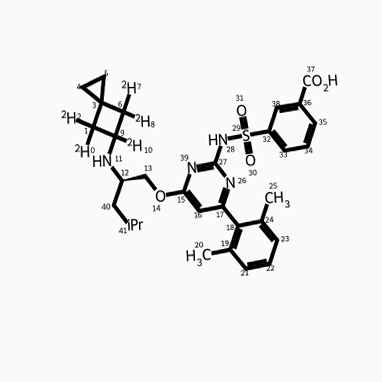 [2H]C1([2H])C2(CC2)C([2H])([2H])C1([2H])N[C@@H](COc1cc(-c2c(C)cccc2C)nc(NS(=O)(=O)c2cccc(C(=O)O)c2)n1)CC(C)C